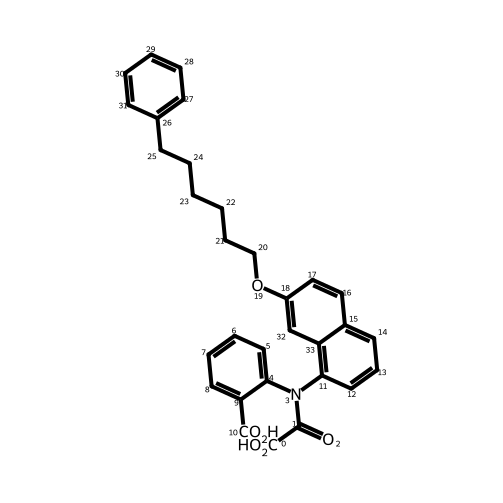 O=C(O)C(=O)N(c1ccccc1C(=O)O)c1cccc2ccc(OCCCCCCc3ccccc3)cc12